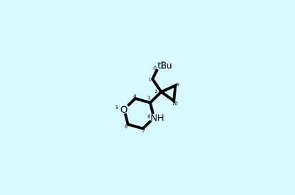 CC(C)(C)CC1(C2COCCN2)CC1